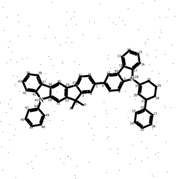 CC1(C)c2cc(-c3ccc4c(c3)c3ccccc3n4C3=CC(c4ccccc4)CCC3)ccc2-c2cc3c4ccccc4n(-c4ccccc4)c3cc21